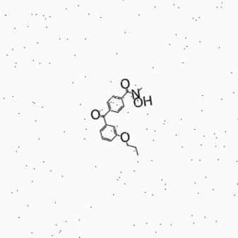 CCCOc1cccc(C(=O)c2ccc(C(=O)N(C)O)cc2)c1